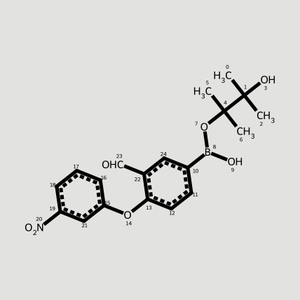 CC(C)(O)C(C)(C)OB(O)c1ccc(Oc2cccc([N+](=O)[O-])c2)c(C=O)c1